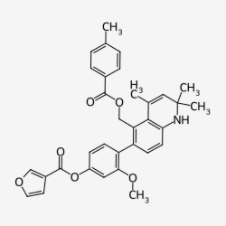 COc1cc(OC(=O)c2ccoc2)ccc1-c1ccc2c(c1COC(=O)c1ccc(C)cc1)C(C)=CC(C)(C)N2